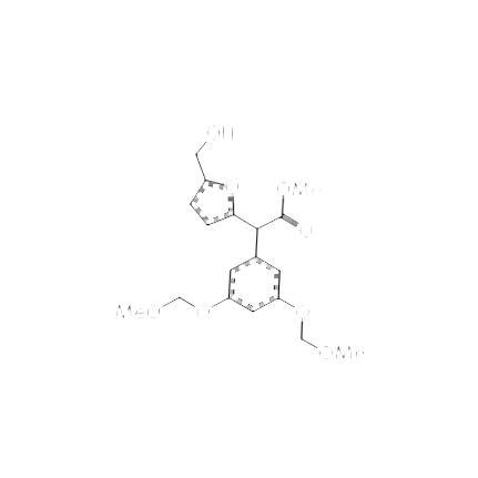 COCOc1cc(OCOC)cc(C(C(=O)OC)c2ccc(CO)o2)c1